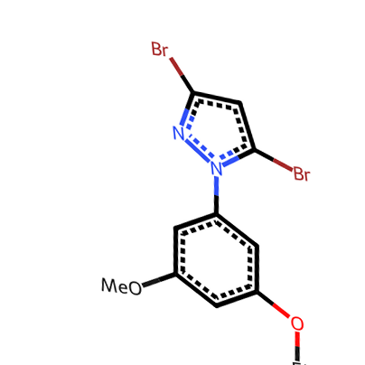 CCOc1cc(OC)cc(-n2nc(Br)cc2Br)c1